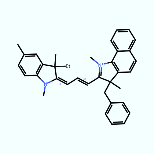 CCC1(C)/C(=C\C=C\C2=[N+](C)c3c(ccc4ccccc34)C2(C)Cc2ccccc2)N(C)c2ccc(C)cc21